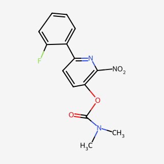 CN(C)C(=O)Oc1ccc(-c2ccccc2F)nc1[N+](=O)[O-]